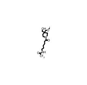 O=C(CCCCCNC(=O)C(F)(F)F)N1CCC(CO)(COI)CC1